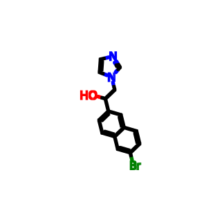 OC(Cn1ccnc1)c1ccc2cc(Br)ccc2c1